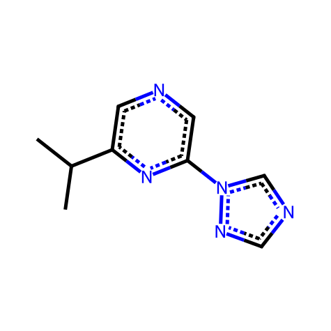 CC(C)c1cncc(-n2cncn2)n1